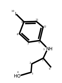 CC(CCO)Nc1ccc(I)cc1